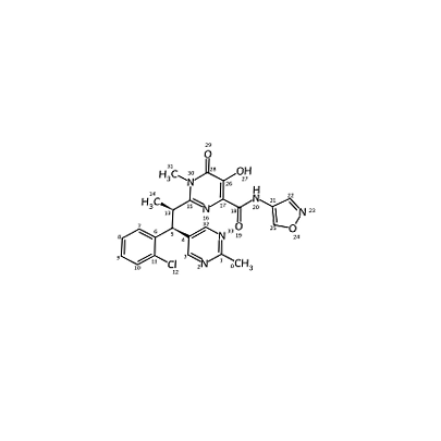 Cc1ncc([C@@H](c2ccccc2Cl)[C@@H](C)c2nc(C(=O)Nc3cnoc3)c(O)c(=O)n2C)cn1